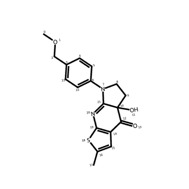 COCc1ccc(N2CCC3(O)C(=O)c4cc(C)sc4N=C23)cc1